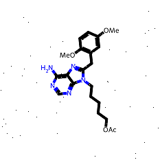 COc1ccc(OC)c(Cc2nc3c(N)ncnc3n2CCCCCOC(C)=O)c1